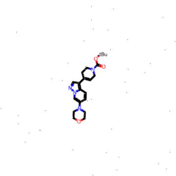 CC(C)(C)OC(=O)N1CC=C(c2cnn3cc(N4CCOCC4)ccc23)CC1